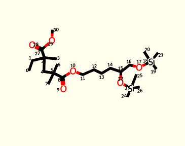 CCC(C)(CC(C)(C)C(=O)OCCCCC(CO[Si](C)(C)C)O[Si](C)(C)C)C(=O)OC